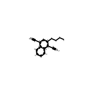 CCCCc1cc(C#N)c2ccccc2c1C#N